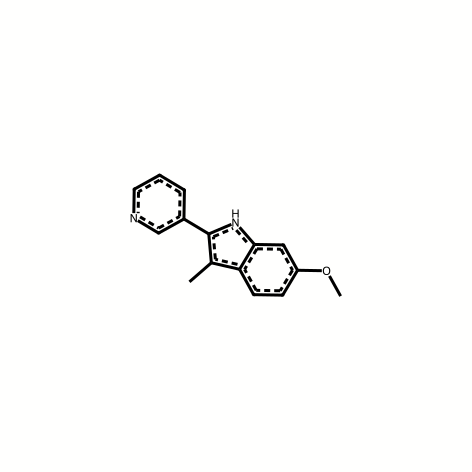 COc1ccc2c(C)c(-c3cccnc3)[nH]c2c1